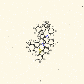 Cc1cc2c3c(c1)N1c4ccccc4C4(c5ccccc5-c5ccccc54)c4cccc(c41)B3N(c1ccc3c(c1)C(C)(C)CCC3(C)C)c1c-2ccc2c1sc1ccccc12